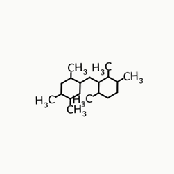 CC1CC(C)C(CC2C(C)CCC(C)C2C)CC1C